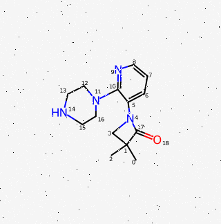 CC1(C)CN(c2cccnc2N2CCNCC2)C1=O